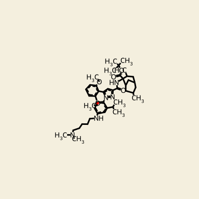 COc1cccc(OC)c1-c1cc(C(=O)NC2(C(=O)OC(C)(C)C)C(C)CC3CC(C)CC2C3)nn1-c1ccc(NCCCCCN(C)C)cc1C(C)C